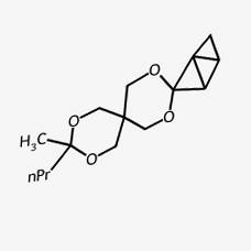 CCCC1(C)OCC2(CO1)COC1(OC2)C2C3CC321